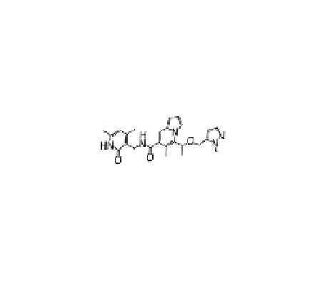 Cc1cc(C)c(CNC(=O)c2cc3cccn3c(C(C)OCc3ccnn3C)c2C)c(=O)[nH]1